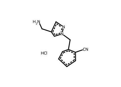 Cl.N#Cc1ccccc1Cn1cc(CN)cn1